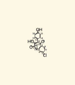 O=c1[nH]c2cc(Cl)ccc2c(=O)c(-c2ccc(O)cc2)c1O